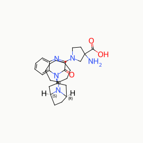 NC1(C(=O)O)CCN(c2nc3ccccc3n([C@H]3C[C@H]4CC[C@@H](C3)N4C3CCCCCCC3)c2=O)C1